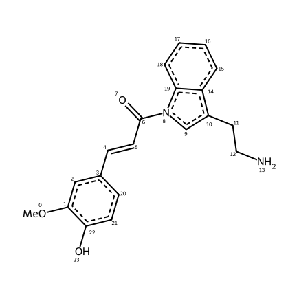 COc1cc(C=CC(=O)n2cc(CCN)c3ccccc32)ccc1O